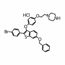 Brc1ccc(-c2sc3cc(OCc4ccccc4)ccc3c2Oc2ccc(OCCN3CCNCC3)cc2)cc1.Cl